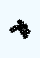 c1ccc(-c2nc3ccccc3n2-c2nc(-c3ccc4ccccc4c3)nc(-c3ccc4c5ccccc5c5ccccc5c4c3)n2)cc1